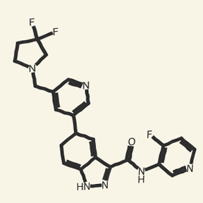 O=C(Nc1cnccc1F)c1n[nH]c2c1=CC(c1cncc(CN3CCC(F)(F)C3)c1)CC=2